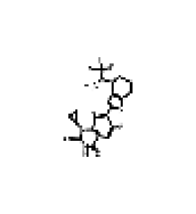 Cc1c(-c2cc3c(s2)CCCC3C(N)C(F)(F)F)c(F)cc2c(=O)[nH]c(=O)n(C3CC3)c12